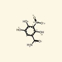 NC(=O)c1cc(O)c(O)c([N+](=O)[O-])c1O